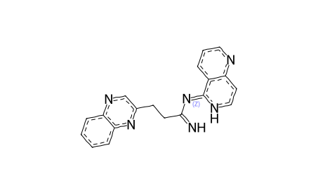 N=C(CCc1cnc2ccccc2n1)/N=c1\[nH]ccc2ncccc12